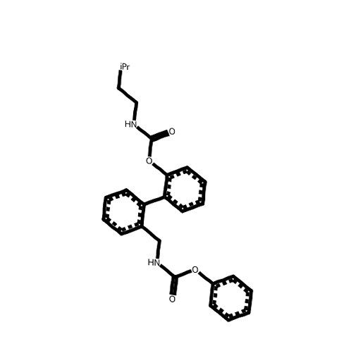 CC(C)CCNC(=O)Oc1ccccc1-c1ccccc1CNC(=O)Oc1ccccc1